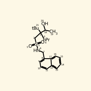 CCCC(CS(=O)(=O)NCc1cccc2ccccc12)(C(C)O)C(C)(C)C